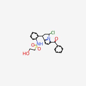 O=C(c1ccccc1)c1ccc2n1C(Cl)CC2c1ccccc1NS(=O)(=O)CCO